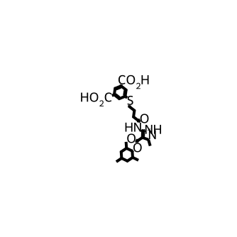 Cc1n[nH]c(NC(=O)CCCSc2cc(C(=O)O)cc(C(=O)O)c2)c1C(=O)OC1C(C)CC(C)CC1C